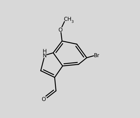 COc1cc(Br)cc2c(C=O)c[nH]c12